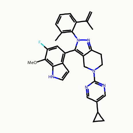 C=C(C)c1cccc(C)c1-n1nc2c(c1-c1cc(F)c(OC)c3[nH]ccc13)CN(c1ncc(C3CC3)cn1)CC2